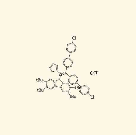 CC(C)(C)c1cc2c(cc1C(C)(C)C)[CH]([Zr+2]([C]1=CC=CC1)=[C](c1ccc(-c3ccc(Cl)cc3)cc1)c1ccc(-c3ccc(Cl)cc3)cc1)c1cc(C(C)(C)C)c(C(C)(C)C)cc1-2.[Cl-].[Cl-]